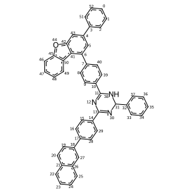 c1ccc(-c2cc(-c3ccc(C4=NC(c5ccc(-c6ccc7ccccc7c6)cc5)=NC(c5ccccc5)N4)cc3)c3c(c2)oc2ccccc23)cc1